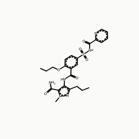 CCCOc1ccc(S(=O)(=O)NC(=O)c2ccccn2)cc1C(=O)Nc1c(CCC)nn(C)c1C(N)=O